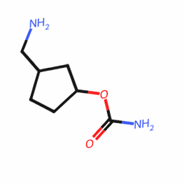 NCC1CCC(OC(N)=O)C1